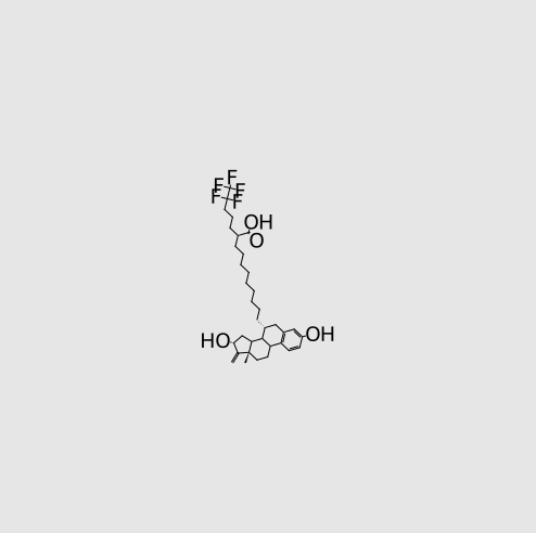 C=C1[C@H](O)CC2C3C(CC[C@]12C)c1ccc(O)cc1C[C@H]3CCCCCCCCCC(CCCC(F)(F)C(F)(F)F)C(=O)O